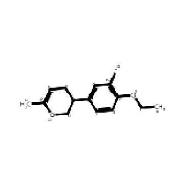 CCOc1ccc(C2CC=C(C)OC2)cc1F